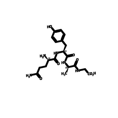 C[C@H](NC(=O)[C@H](Cc1ccc(O)cc1)NC(=O)[C@@H](N)CCC(N)=O)C(=O)NCC(=O)O